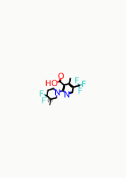 Cc1c(C(F)(F)F)cnc(N2CCC(F)(F)[C@H](C)C2)c1C(=O)O